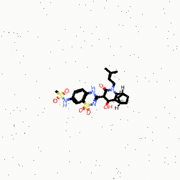 CC(C)CCN1C(=O)C(C2=NS(=O)(=O)c3cc(NS(C)(=O)=O)ccc3N2)C(O)C2C1[C@@H]1CC[C@H]2C1